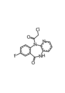 O=C1Nc2cccnc2N(C(=O)CCl)c2ccc(F)cc21